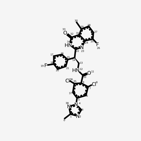 Cc1ncn(-c2cc(Cl)c(C(=O)NC[C@@H](c3ccc(F)cc3)c3nc4c(F)ccc(C)c4c(=O)[nH]3)c(Cl)c2)n1